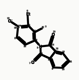 CCc1c(F)c(N2C(=O)c3ccccc3C2=O)cc[n+]1[O-]